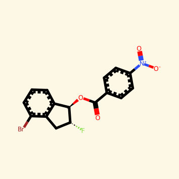 O=C(O[C@@H]1c2cccc(Br)c2C[C@H]1F)c1ccc([N+](=O)[O-])cc1